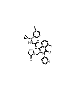 O=C(N[C@H](c1cccc(F)c1)C1CC1)Oc1c(CN2CCCC2=O)n(-c2cccnc2)c(=O)c2c(F)cccc12